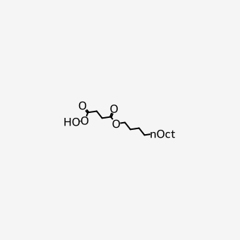 CCCCCCCCCCCCOC(=O)CCC(=O)OO